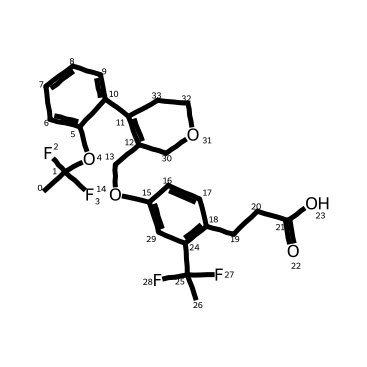 CC(F)(F)Oc1ccccc1C1=C(COc2ccc(CCC(=O)O)c(C(C)(F)F)c2)COCC1